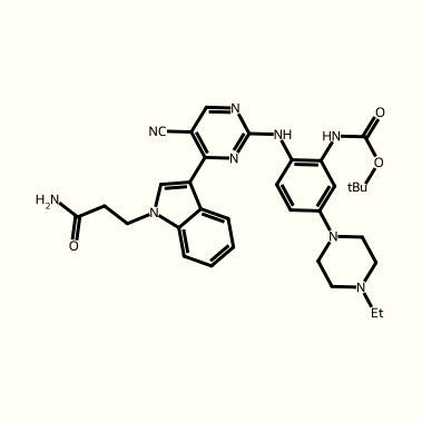 CCN1CCN(c2ccc(Nc3ncc(C#N)c(-c4cn(CCC(N)=O)c5ccccc45)n3)c(NC(=O)OC(C)(C)C)c2)CC1